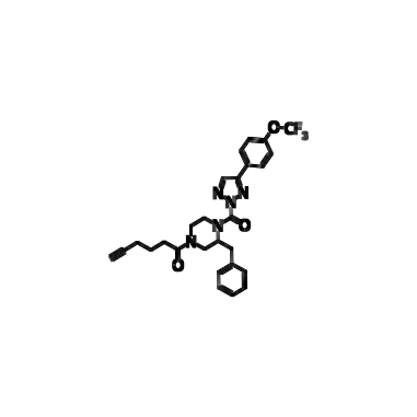 C#CCCCC(=O)N1CCN(C(=O)n2ncc(-c3ccc(OC(F)(F)F)cc3)n2)C(Cc2ccccc2)C1